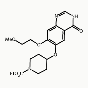 CCOC(=O)N1CCC(Oc2cc3c(=O)[nH]cnc3cc2OCCOC)CC1